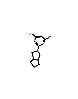 Cc1cc(Cl)nc(N2CC3CCCC3C2)n1